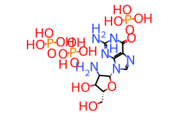 Nc1nc2c(ncn2[C@@H]2O[C@H](CO)[C@@H](O)[C@H]2N)c(=O)[nH]1.O=P(O)(O)O.O=P(O)(O)O.O=P(O)(O)O